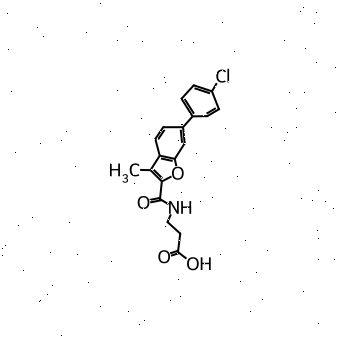 Cc1c(C(=O)NCCC(=O)O)oc2cc(-c3ccc(Cl)cc3)ccc12